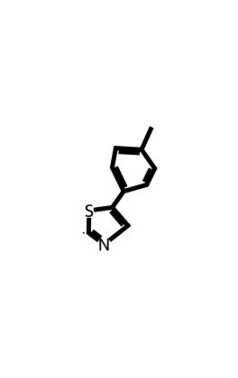 Cc1ccc(-c2cn[c]s2)cc1